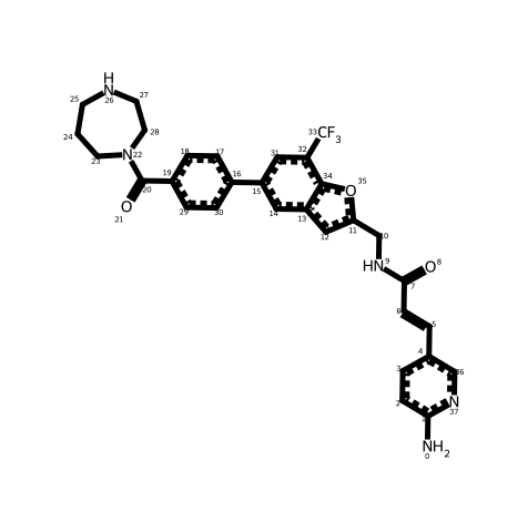 Nc1ccc(/C=C/C(=O)NCc2cc3cc(-c4ccc(C(=O)N5CCCNCC5)cc4)cc(C(F)(F)F)c3o2)cn1